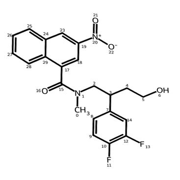 CN(CC(CCO)c1ccc(F)c(F)c1)C(=O)c1cc([N+](=O)[O-])cc2ccccc12